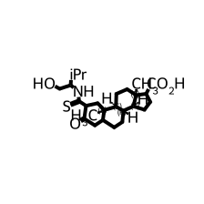 CC(C)C(CO)NC(=S)C1C[C@@]2(C)C(CC[C@@H]3[C@@H]2CC[C@]2(C)C(C(=O)O)CC[C@@H]32)CC1=O